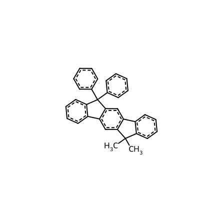 CC1(C)c2ccccc2-c2cc3c(cc21)-c1ccccc1C3(c1ccccc1)c1ccccc1